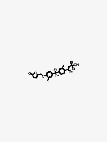 CCC(=CC(O)(CC)CC)c1ccc(C(CC)(CC)c2ccc(OCC3=CCC(=O)O3)c(C)c2)cc1C